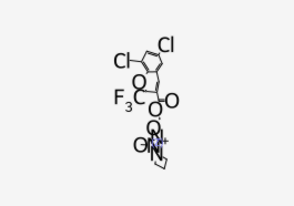 O=C(OCO/N=[N+](\[O-])N1CCC1)C1=Cc2cc(Cl)cc(Cl)c2OC1C(F)(F)F